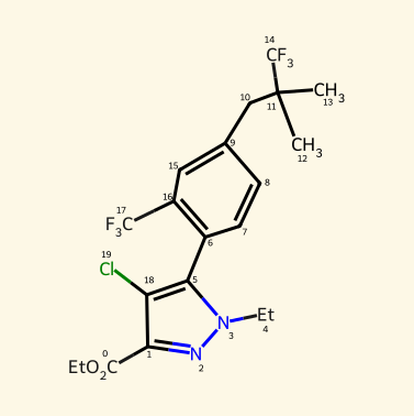 CCOC(=O)c1nn(CC)c(-c2ccc(CC(C)(C)C(F)(F)F)cc2C(F)(F)F)c1Cl